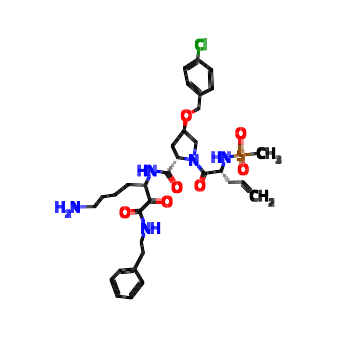 C=CC[C@@H](NS(C)(=O)=O)C(=O)N1C[C@H](OCc2ccc(Cl)cc2)C[C@H]1C(=O)NC(CCCCN)C(=O)C(=O)NCCc1ccccc1